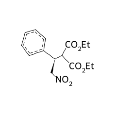 CCOC(=O)C(C(=O)OCC)[C@@H](C[N+](=O)[O-])c1ccccc1